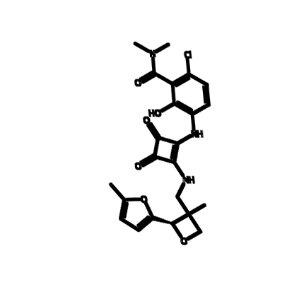 Cc1ccc([C@@H]2OCC2(C)CNc2c(Nc3ccc(Cl)c(C(=O)N(C)C)c3O)c(=O)c2=O)o1